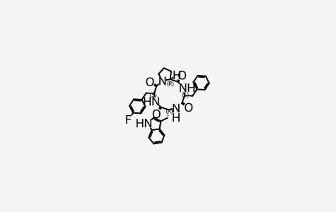 O=C1N[C@H](Cc2c[nH]c3ccccc23)C(=O)N[C@@H](Cc2ccc(F)cc2)C(=O)N2CCC[C@@H]2C(=O)N[C@H]1Cc1ccccc1